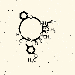 CC[C@H](C)[C@@H]1NCCOc2ccccc2CCCNC(=O)[C@@H](Cc2ccc(OC)cc2)NC(=O)[C@@H](C)N(C)C1=O